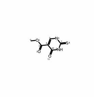 COC(=O)C1=C[N]C(=S)NC1=O